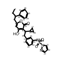 CCC(Cc1cc(O)c(C(Cc2cccc(NS(=O)(=O)n3cccn3)c2)C2CC2)c(=O)o1)c1ccccc1